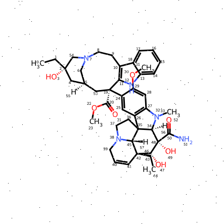 CC[C@]1(O)C[C@H]2CN(CCc3c([nH]c4ccccc34)[C@@](C(=O)OC)(c3cc4c(cc3OC)N(C)[C@@H]3C45CCN4CC=C[C@](CC)([C@H]45)[C@@H](O)[C@]3(O)C(N)=O)C2)C1